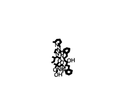 CCC(C)C(C(=O)NC(Cc1ccccc1)CC(O)C(Cc1ccccc1)NC(=O)C(NC(=O)O)C(C)(C)C)N1CCN(Cc2cccc(C)n2)C1=O